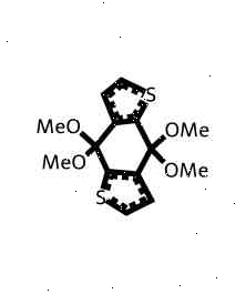 COC1(OC)c2ccsc2C(OC)(OC)c2ccsc21